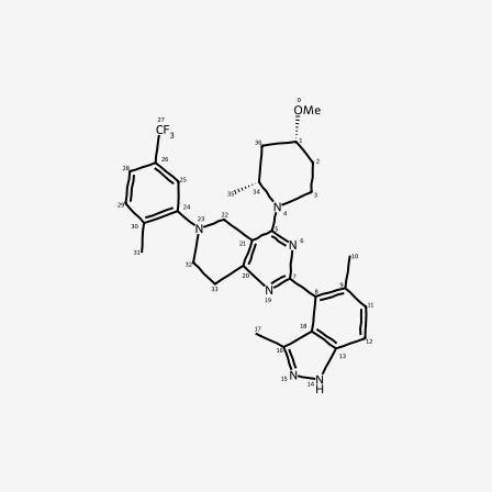 CO[C@@H]1CCN(c2nc(-c3c(C)ccc4[nH]nc(C)c34)nc3c2CN(c2cc(C(F)(F)F)ccc2C)CC3)[C@H](C)C1